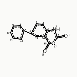 O=c1[nH]c2ccc(-c3ccccc3)cc2c(=O)o1